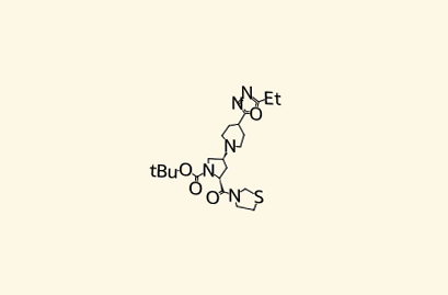 CCc1nnc(C2CCN([C@H]3C[C@@H](C(=O)N4CCSC4)N(C(=O)OC(C)(C)C)C3)CC2)o1